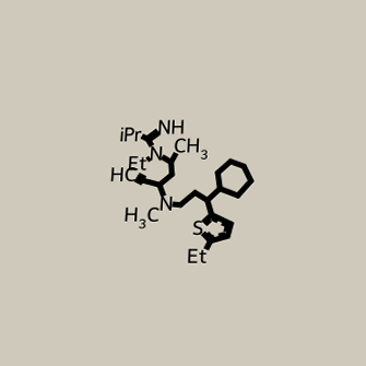 C#CC(CC(C)N(CC)C(=N)C(C)C)N(C)CCC(c1ccc(CC)s1)C1CCCCC1